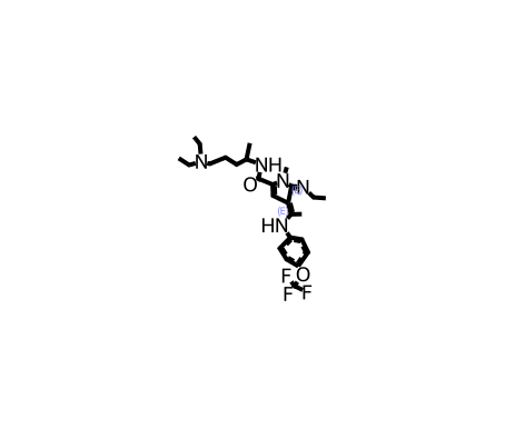 CC/N=C1\C(=C(/C)Nc2ccc(OC(F)(F)F)cc2)C=C(C(=O)NC(C)CCCN(CC)CC)N1C